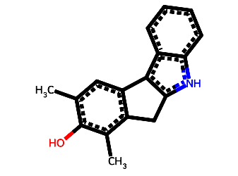 Cc1cc2c(c(C)c1O)Cc1[nH]c3ccccc3c1-2